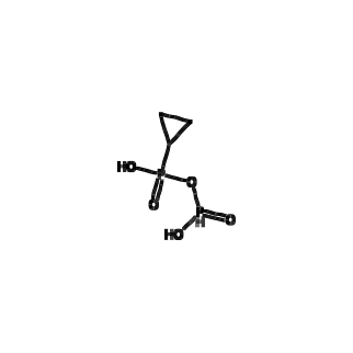 O=[PH](O)OP(=O)(O)C1CC1